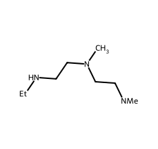 [CH2]CNCCN(C)CCN[CH2]